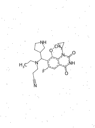 CCN(CCC#N)C(c1c(F)cc2c(=O)[nH]c(=O)n(C3CC3)c2c1OC)C1CCNC1